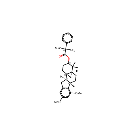 COc1cc2c(c(OC)c1)[C@@]1(C)CC[C@@H]3C(C)(C)[C@H](OC(=O)[C@](OC)(c4ccccc4)C(F)(F)F)CC[C@@]3(C)[C@@H]1C2